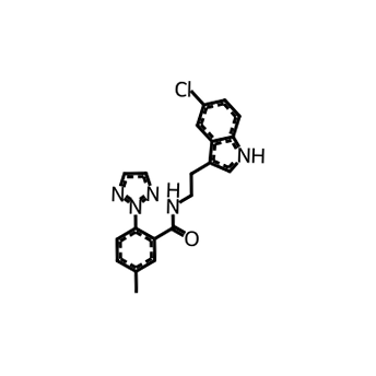 Cc1ccc(-n2nccn2)c(C(=O)NCCc2c[nH]c3ccc(Cl)cc23)c1